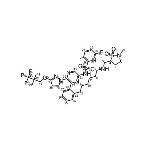 CN1CCC(CNCCCCCCc2ccccc2-c2nc(NS(=O)(=O)c3cccc(F)n3)cnc2-n2ccc(OCC(C)(C)C(F)(F)F)n2)S1(=O)=O